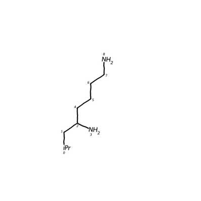 CC(C)CC(N)CCCCN